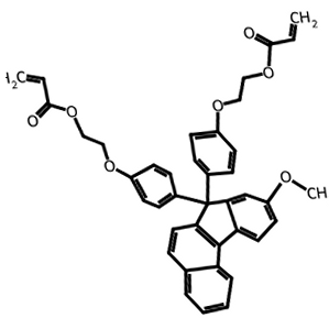 C=CC(=O)OCCOc1ccc(C2(c3ccc(OCCOC(=O)C=C)cc3)c3cc(OC)ccc3-c3c2ccc2ccccc32)cc1